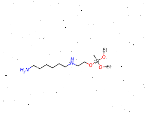 CCO[Si](C)(OCC)OCCNCCCCCCN